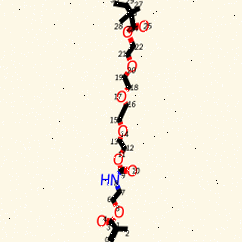 C=C(C)C(=O)OCCNC(=O)OCCOCCOCCOCCOC(=O)C(C)(C)CC